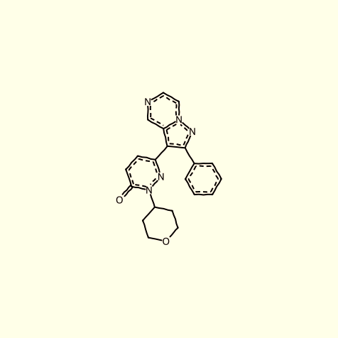 O=c1ccc(-c2c(-c3ccccc3)nn3ccncc23)nn1C1CCOCC1